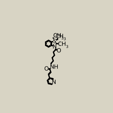 CCS1(CC)c2ccccc2N(C(=O)CCCCCNC(=O)/C=C/c2cccnc2)C1C